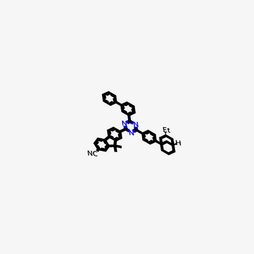 CC[C@@H]1C[C@@H]2CCCC(c3ccc(-c4nc(-c5cccc(-c6ccccc6)c5)nc(-c5ccc6c(c5)C(C)(C)c5cc(C#N)ccc5-6)n4)cc3)(C1)C2